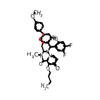 CCCCOc1c2n(ccc1=O)N(C(c1cc(F)c(F)cc1O)c1ccccc1Br)C(CCOCc1ccc(OC)cc1)N(C)C2=O